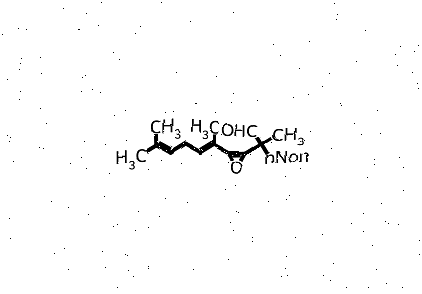 CCCCCCCCCC(C)(C=O)C1=C(C(C)=CCC=C(C)C)O1